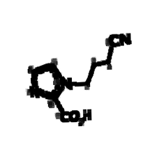 N#CCCCn1ccnc1C(=O)O